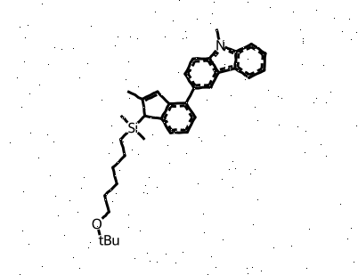 CC1=Cc2c(-c3ccc4c(c3)c3ccccc3n4C)cccc2C1[Si](C)(C)CCCCCCOC(C)(C)C